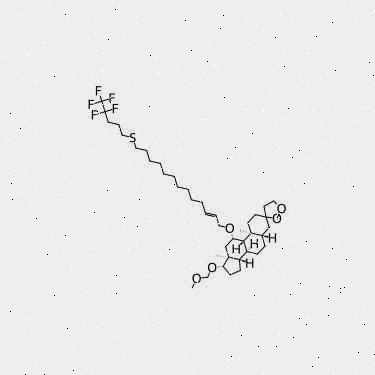 COCO[C@H]1CC[C@H]2[C@@H]3CC[C@H]4CC5(CCOO5)CC[C@]4(C)[C@H]3[C@@H](OC/C=C/CCCCCCCCCCSCCCC(F)(F)C(F)(F)F)C[C@]12C